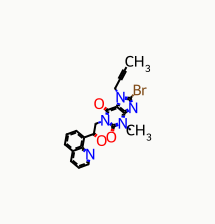 CC#CCn1c(Br)nc2c1c(=O)n(CC(=O)c1cccc3cccnc13)c(=O)n2C